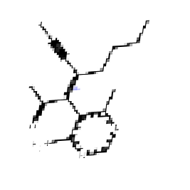 CC#C/C(CCCC)=C(\C(C)=O)c1c(C)ncnc1N